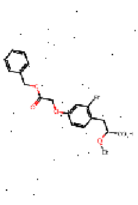 CCO[C@@H](Cc1ccc(OCC(=O)OCc2ccccc2)cc1CC)C(=O)O